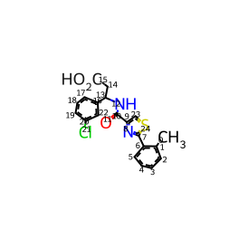 Cc1ccccc1-c1nc(C(=O)NC(CC(=O)O)c2cccc(Cl)c2)cs1